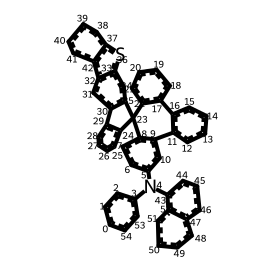 c1ccc(N(c2ccc3c(c2)-c2ccccc2-c2ccccc2C32c3ccccc3-c3cc4c(cc32)sc2ccccc24)c2cccc3ccccc23)cc1